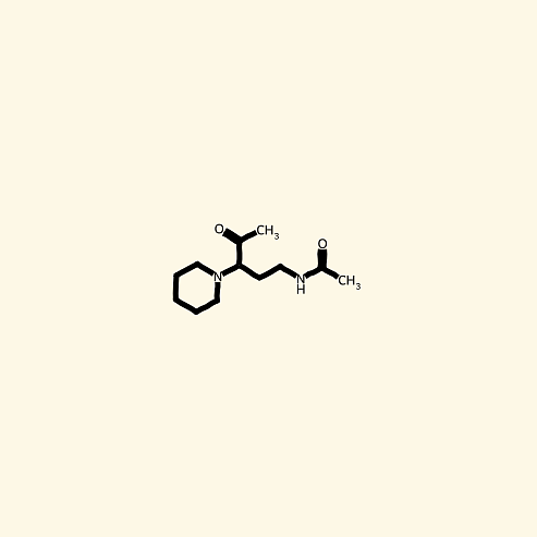 CC(=O)NCCC(C(C)=O)N1CCCCC1